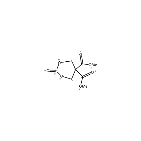 COC(=O)C1(C(=O)OC)CO[P](=O)OC1